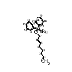 C=CCCCC=CCO[Si](c1ccccc1)(c1ccccc1)C(C)(C)C